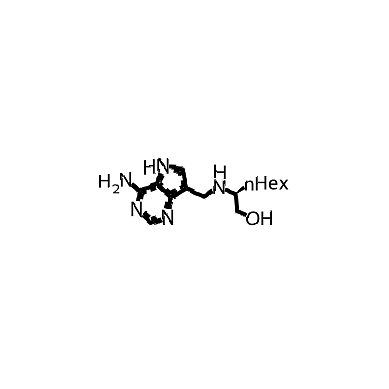 CCCCCC[C@@H](CO)NCc1c[nH]c2c(N)ncnc12